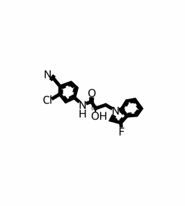 N#Cc1ccc(NC(=O)[C@@H](O)Cn2cc(F)c3ccccc32)cc1Cl